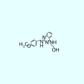 COc1ccc(CNc2nc(NCCO)c3ccccc3n2)cc1